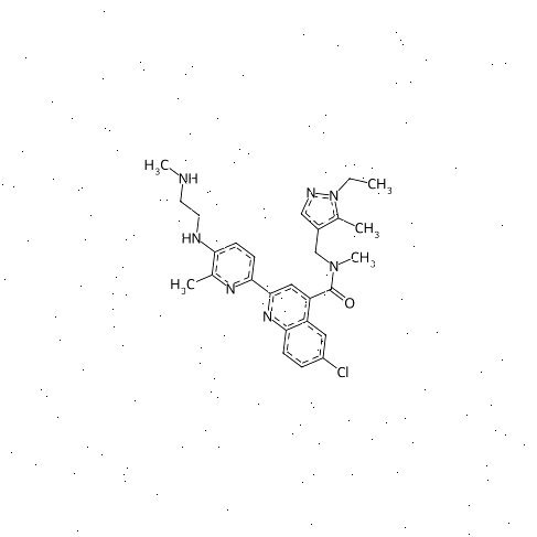 CCn1ncc(CN(C)C(=O)c2cc(-c3ccc(NCCNC)c(C)n3)nc3ccc(Cl)cc23)c1C